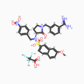 COc1ccc2ccc(S(=O)(=O)N(Cc3ccc([N+](=O)[O-])cc3)[C@H]3CCN(Cc4cccc(C(=N)N)c4)C3=O)cc2c1.O=C(O)C(F)(F)F